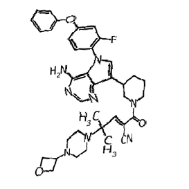 CC(C)(C=C(C#N)C(=O)N1CCCC(c2cn(-c3ccc(Oc4ccccc4)cc3F)c3c(N)ncnc23)C1)N1CCN(C2COC2)CC1